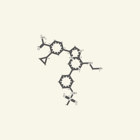 CC(C)CNc1nc(-c2cccc(NS(C)(=O)=O)c2)cn2c(-c3ccc(C(N)=O)c(C4CC4)c3)cnc12